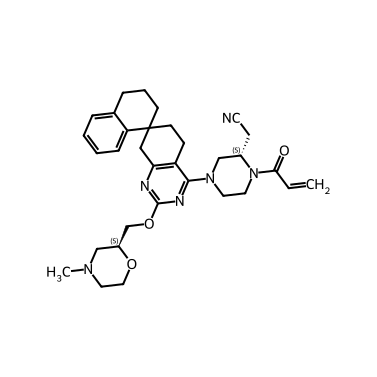 C=CC(=O)N1CCN(c2nc(OC[C@@H]3CN(C)CCO3)nc3c2CCC2(CCCc4ccccc42)C3)C[C@@H]1CC#N